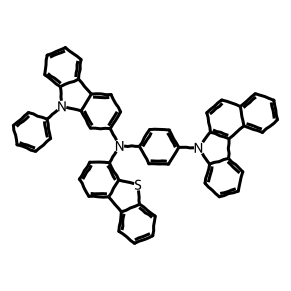 c1ccc(-n2c3ccccc3c3ccc(N(c4ccc(-n5c6ccccc6c6c7ccccc7ccc65)cc4)c4cccc5c4sc4ccccc45)cc32)cc1